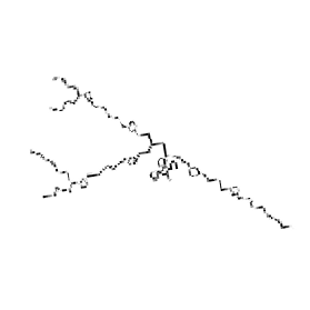 CCCCCCCCOCCCCOCCCC(CC(CCOCCCCCOC(CCCC)CCCC)CCOCCCCCOC(CCCC)CCCCCC)OS(C)(=O)=O